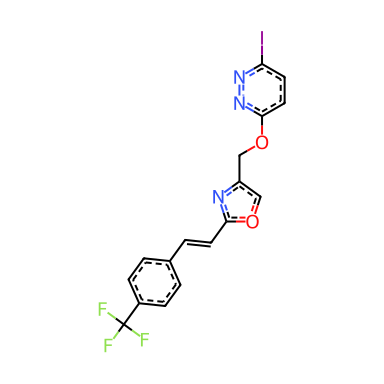 FC(F)(F)c1ccc(/C=C/c2nc(COc3ccc(I)nn3)co2)cc1